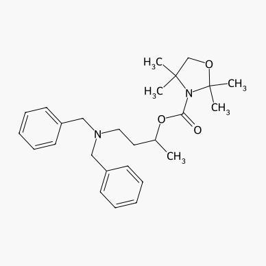 CC(CCN(Cc1ccccc1)Cc1ccccc1)OC(=O)N1C(C)(C)COC1(C)C